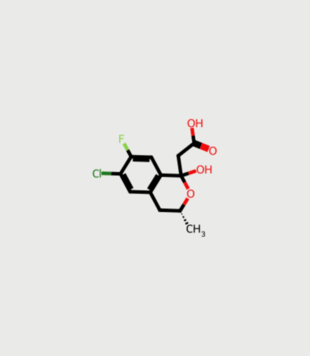 C[C@@H]1Cc2cc(Cl)c(F)cc2C(O)(CC(=O)O)O1